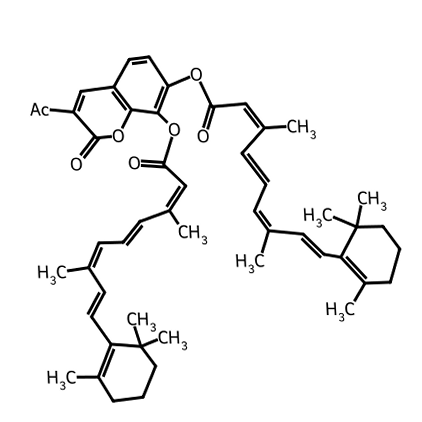 CC(=O)c1cc2ccc(OC(=O)C=C(C)C=CC=C(C)C=CC3=C(C)CCCC3(C)C)c(OC(=O)C=C(C)C=CC=C(C)C=CC3=C(C)CCCC3(C)C)c2oc1=O